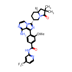 COc1cc(C(=O)Nc2cc(C(F)(F)F)ccn2)ccc1-c1nc([C@@H]2CC[C@H]3CC(C)(C)C(=O)N3C2)n2ccnc(N)c12